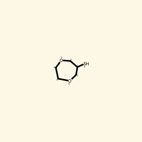 SC1COCCOC1